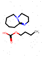 C1CCC2=NCCCN2CC1.CCCCOC(=O)O